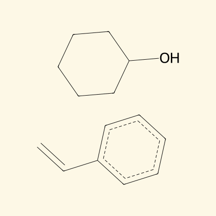 C=Cc1ccccc1.OC1CCCCC1